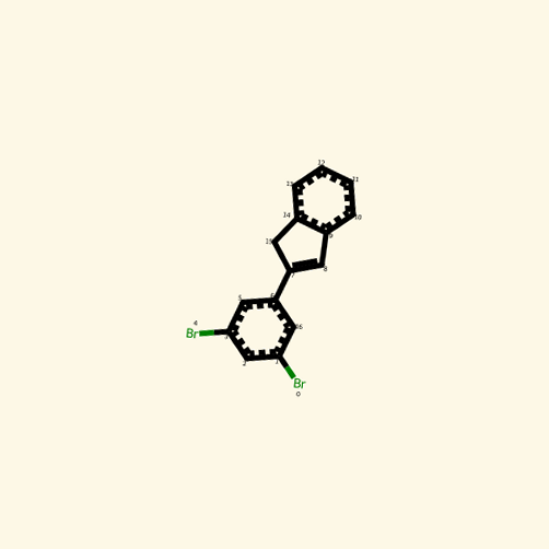 Brc1cc(Br)cc(C2=Cc3ccccc3[CH]2)c1